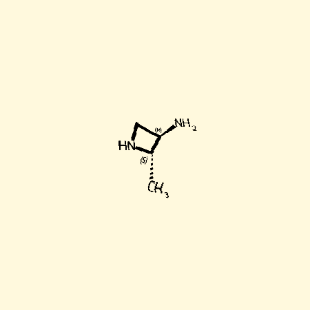 C[C@@H]1NC[C@H]1N